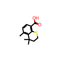 Cc1ccc(C(=O)O)c2c1C(C)(C)CCS2